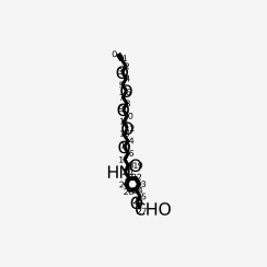 C#CCOCCOCCOCCOCCOCCC(=O)Nc1ccc(COC=O)cc1